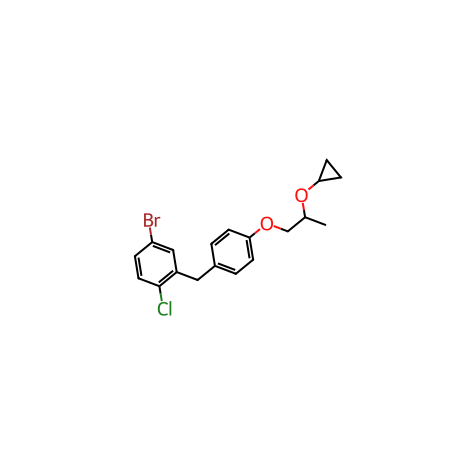 CC(COc1ccc(Cc2cc(Br)ccc2Cl)cc1)OC1CC1